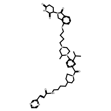 CC(C)c1cc(C(=O)N2CCC(CCCCNC(=O)/C=C/c3cnccn3)CC2)ccc1N1CCN(CCCCSc2cccc3c2CN(C2CCC(=O)NC2=O)C3=O)CC1C